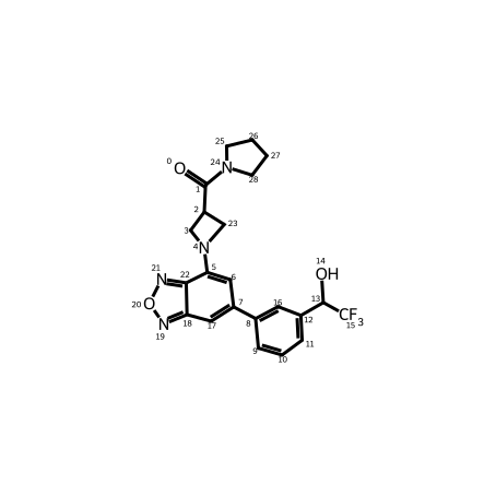 O=C(C1CN(c2cc(-c3cccc(C(O)C(F)(F)F)c3)cc3nonc23)C1)N1CCCC1